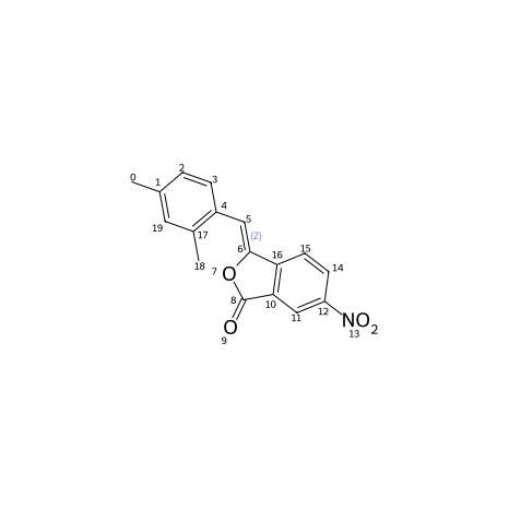 Cc1ccc(/C=C2\OC(=O)c3cc([N+](=O)[O-])ccc32)c(C)c1